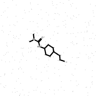 CN(C)C(=O)NC1CCC(CCI)CC1